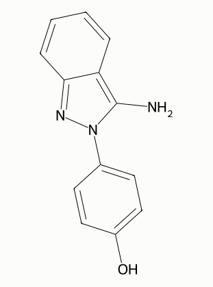 Nc1c2ccccc2nn1-c1ccc(O)cc1